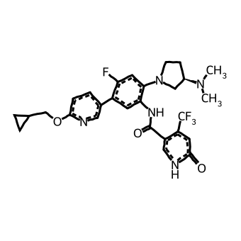 CN(C)[C@@H]1CCN(c2cc(F)c(-c3ccc(OCC4CC4)nc3)cc2NC(=O)c2c[nH]c(=O)cc2C(F)(F)F)C1